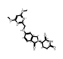 COc1cc(OC)nc(COc2ccc3c(c2)CN(C2CCC(=O)NC2=O)C3=O)n1